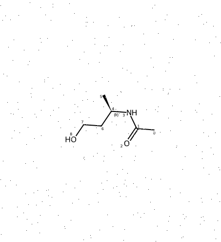 CC(=O)N[C@H](C)CCO